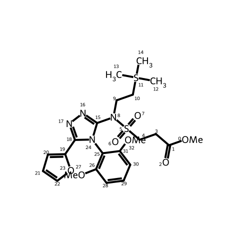 COC(=O)CCS(=O)(=O)N(CCS(C)(C)C)c1nnc(-c2ccco2)n1-c1c(OC)cccc1OC